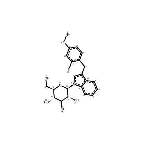 CC(C)Oc1ccc(Cc2cn([C@@H]3O[C@H](CO)[C@@H](O)[C@H](O)[C@H]3O)c3ccccc23)c(F)c1